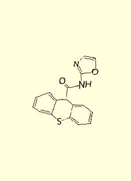 O=C(Nc1ncco1)C1c2ccccc2Sc2ccccc21